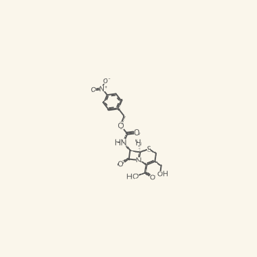 O=C(NC1C(=O)N2C(C(=O)O)=C(CO)CS[C@H]12)OCc1ccc([N+](=O)[O-])cc1